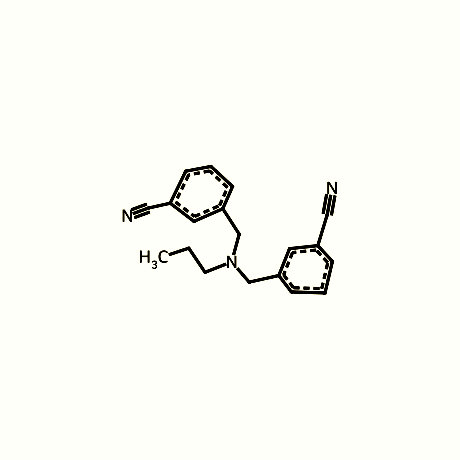 CCCN(Cc1cccc(C#N)c1)Cc1cccc(C#N)c1